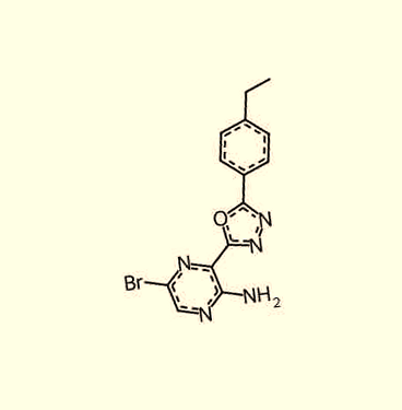 CCc1ccc(-c2nnc(-c3nc(Br)cnc3N)o2)cc1